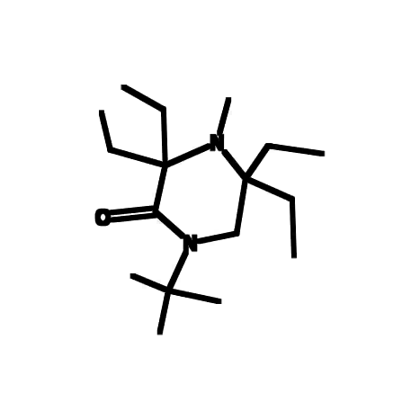 CCC1(CC)CN(C(C)(C)C)C(=O)C(CC)(CC)N1C